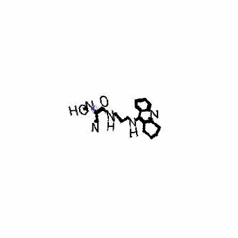 N#C/C(=N\O)C(=O)NCCCNc1c2c(nc3ccccc13)CCCC2